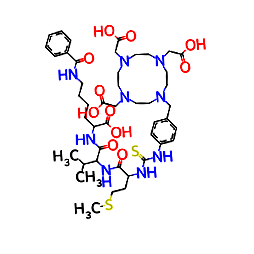 CSCCC(NC(=S)Nc1ccc(CN2CCN(CC(=O)O)CCN(CC(=O)O)CCN(CC(=O)O)CC2)cc1)C(=O)NC(C(=O)NC(CCCCNC(=O)c1ccccc1)C(=O)O)C(C)C